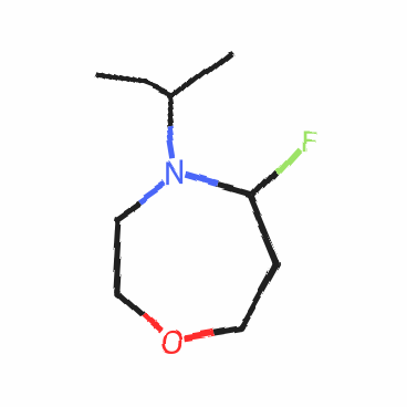 CC(C)N1CCOCCC1F